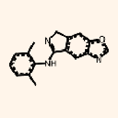 Cc1cccc(C)c1NC1=NCc2cc3ocnc3cc21